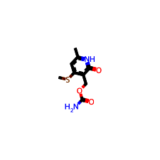 CSc1cc(C)[nH]c(=O)c1COC(N)=O